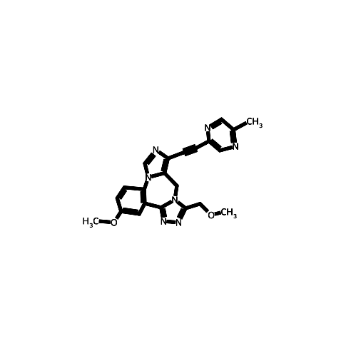 COCc1nnc2n1Cc1c(C#Cc3cnc(C)cn3)ncn1-c1ccc(OC)cc1-2